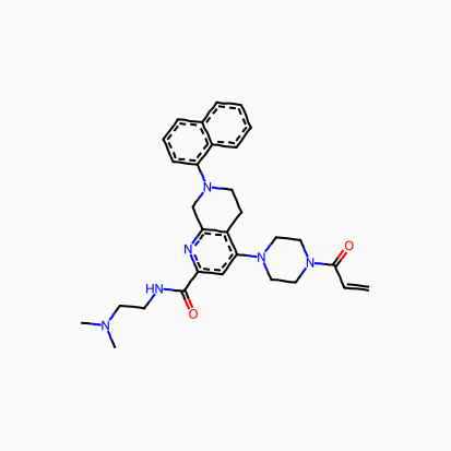 C=CC(=O)N1CCN(c2cc(C(=O)NCCN(C)C)nc3c2CCN(c2cccc4ccccc24)C3)CC1